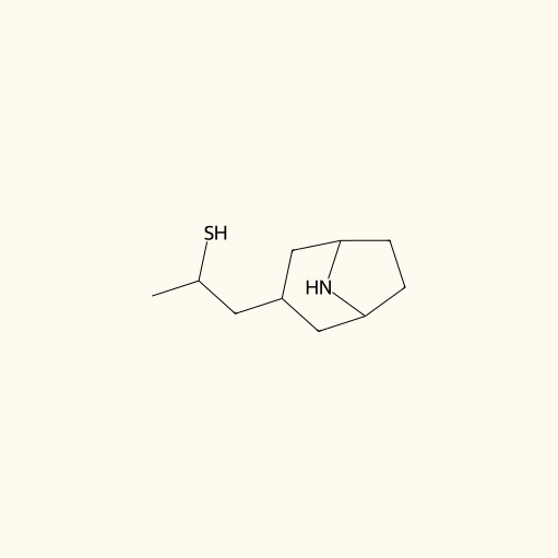 CC(S)CC1CC2CCC(C1)N2